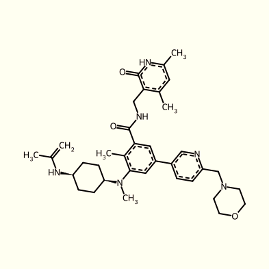 C=C(C)N[C@H]1CC[C@@H](N(C)c2cc(-c3ccc(CN4CCOCC4)nc3)cc(C(=O)NCc3c(C)cc(C)[nH]c3=O)c2C)CC1